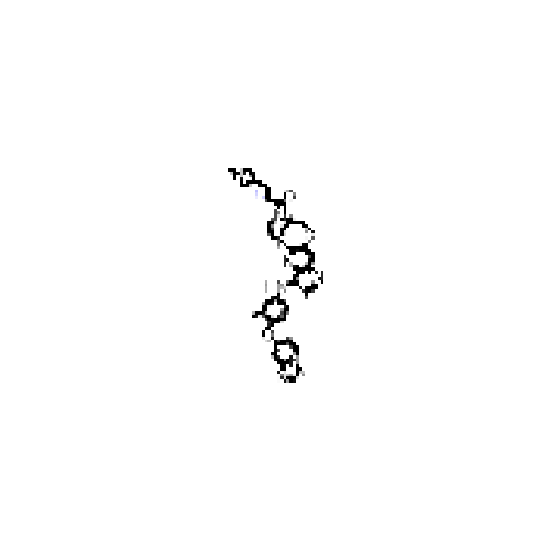 Cc1cc(Nc2ncnc3cc4c(nc23)N2CCN(C(=O)/C=C/C3CN(C)C3)[C@@H](CO4)C2)ccc1Oc1ccn2ncnc2c1